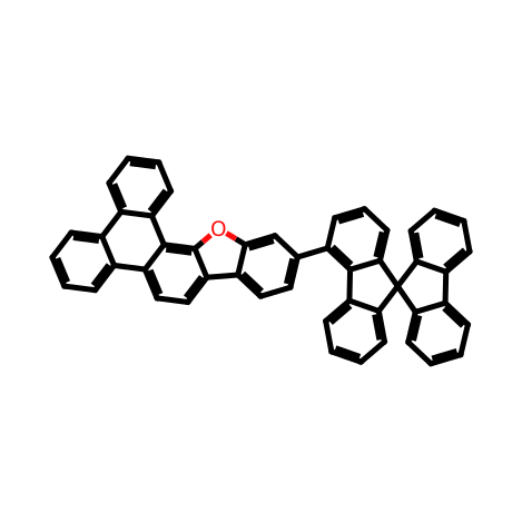 c1ccc2c(c1)-c1ccccc1C21c2ccccc2-c2c(-c3ccc4c(c3)oc3c4ccc4c5ccccc5c5ccccc5c43)cccc21